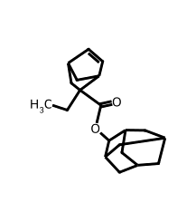 CCC1(C(=O)OC2C3CC4CC(C3)CC2C4)CC2C=CC1C2